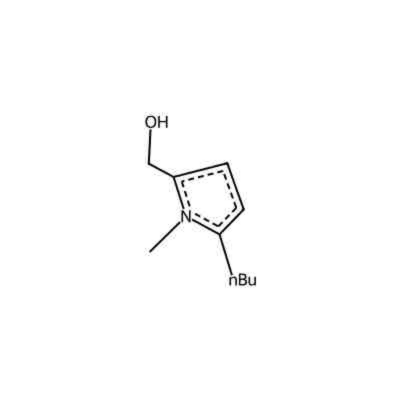 CCCCc1ccc(CO)n1C